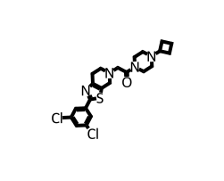 O=C(CN1CCc2nc(-c3cc(Cl)cc(Cl)c3)sc2C1)N1CCN(C2CCC2)CC1